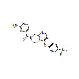 Nc1cccc(C(=O)N2CCc3c(ncnc3Oc3ccc(C(F)(F)F)cc3)C2)n1